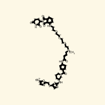 CN(C/C=C/C(=O)Nc1ccc(C(=O)N2CCC[C@@H](Nc3ncc(SCc4ncc(C(C)(C)C)o4)s3)C2)cc1)CCOCCOCCOCCNc1cccc2c1C(=O)N(C1CCC(=O)NC1=O)C2=O